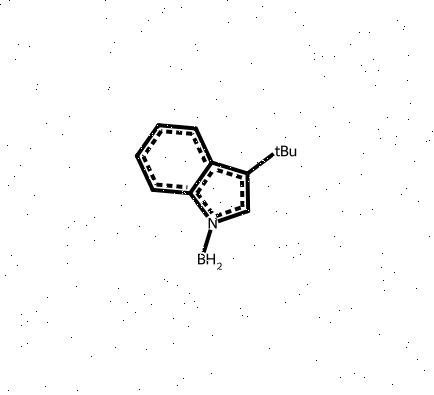 Bn1cc(C(C)(C)C)c2ccccc21